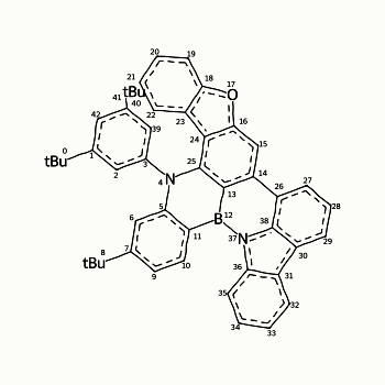 CC(C)(C)c1cc(N2c3cc(C(C)(C)C)ccc3B3c4c(cc5oc6ccccc6c5c42)-c2cccc4c5ccccc5n3c24)cc(C(C)(C)C)c1